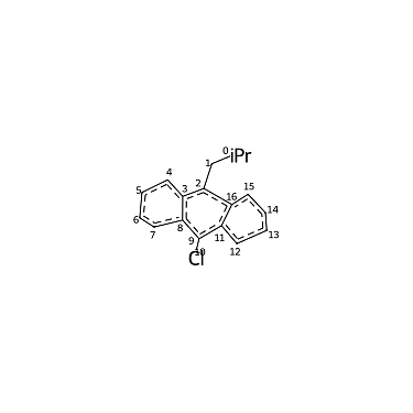 CC(C)Cc1c2ccccc2c(Cl)c2ccccc12